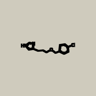 Clc1ccc(COCCCc2c[nH]cn2)cc1